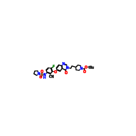 CC(C)(C)OC(=O)N1CCC(CCn2cnc3ccc(Oc4c(F)ccc(NS(=O)(=O)N5CCCC5)c4C#N)cc3c2=O)CC1